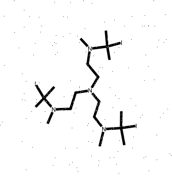 CN(CCN(CCN(C)C(C)(C)I)CCN(C)C(C)(C)I)C(C)(C)I